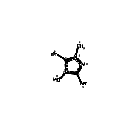 CCCc1nn(C)c(CCC)c1O